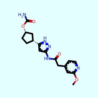 COc1cc(CC(=O)Nc2cc([C@@H]3CC[C@H](OC(N)=O)C3)[nH]n2)ccn1